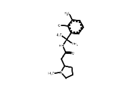 Cc1cccc(C(C)(C)NC(=O)CC2CCCN2C)c1Cl